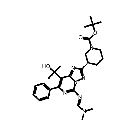 CN(C)/C=N/c1nc(-c2ccccc2)c(C(C)(C)O)c2nc([C@@H]3CCCN(C(=O)OC(C)(C)C)C3)nn12